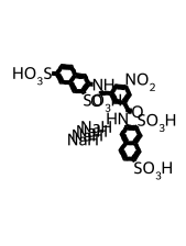 O=C(Nc1cc2ccc(S(=O)(=O)O)cc2cc1S(=O)(=O)O)c1cc(C(=O)Nc2cc3ccc(S(=O)(=O)O)cc3cc2S(=O)(=O)O)cc([N+](=O)[O-])c1.[NaH].[NaH].[NaH].[NaH]